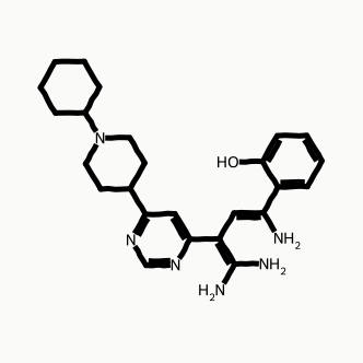 NC(N)=C(/C=C(\N)c1ccccc1O)c1cc(C2CCN(C3CCCCC3)CC2)ncn1